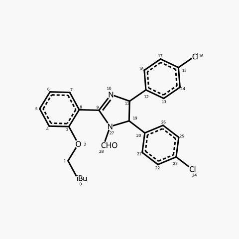 CCC(C)COc1ccccc1C1=NC(c2ccc(Cl)cc2)C(c2ccc(Cl)cc2)N1C=O